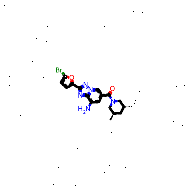 C[C@@H]1C[C@@H](C)CN(C(=O)c2cc(N)c3nc(-c4ccc(Br)o4)nn3c2)C1